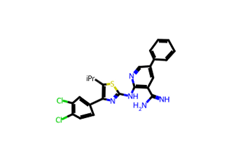 CC(C)c1sc(Nc2ncc(-c3ccccc3)cc2C(=N)N)nc1-c1ccc(Cl)c(Cl)c1